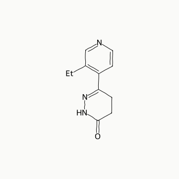 CCc1cnccc1C1=NNC(=O)CC1